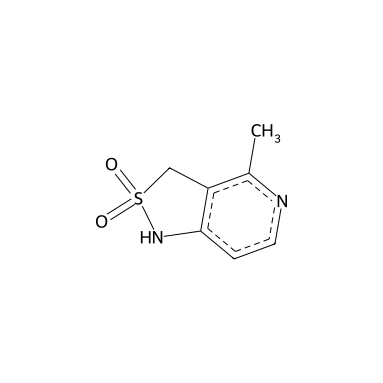 Cc1nccc2c1CS(=O)(=O)N2